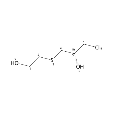 OCCSC[C@@H](O)CCl